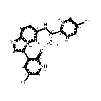 C[C@H](Nc1ccc2ncc(-c3cc(F)c[nH]c3=O)n2n1)c1ncc(F)cn1